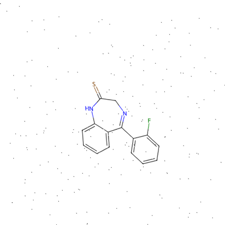 Fc1ccccc1C1=NCC(=S)Nc2ccccc21